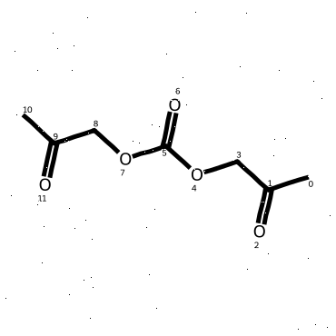 CC(=O)COC(=O)OCC(C)=O